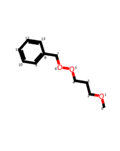 COCCCOOCc1ccccc1